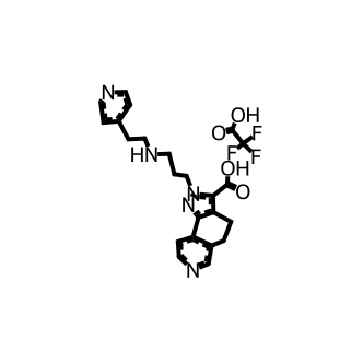 O=C(O)C(F)(F)F.O=C(O)c1c2c(nn1CCCNCCc1ccncc1)-c1ccncc1CC2